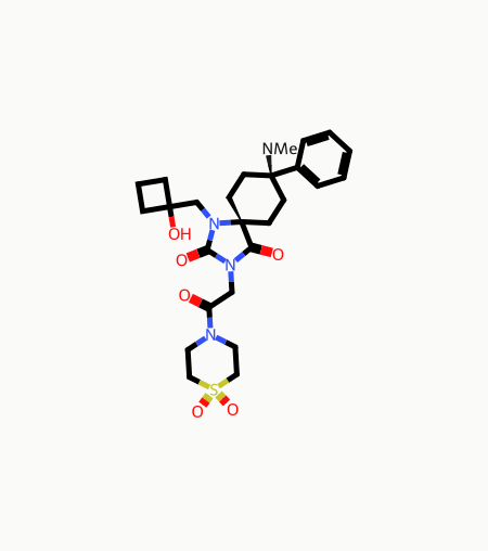 CN[C@]1(c2ccccc2)CC[C@@]2(CC1)C(=O)N(CC(=O)N1CCS(=O)(=O)CC1)C(=O)N2CC1(O)CCC1